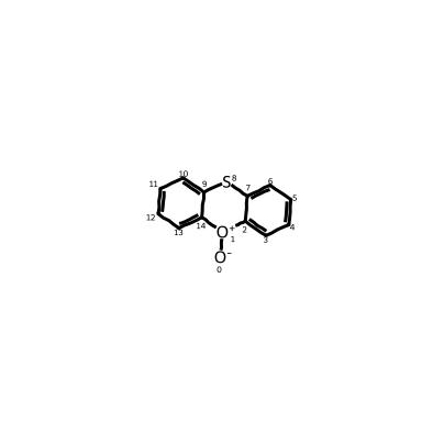 [O-][O+]1c2ccccc2Sc2ccccc21